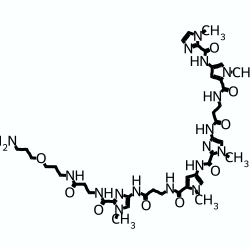 Cn1cc(NC(=O)c2nc(NC(=O)CCNC(=O)c3cc(NC(=O)c4nccn4C)cn3C)cn2C)cc1C(=O)NCCC(=O)Nc1cn(C)c(C(=O)NCCC(=O)NCCCOCCCN)n1